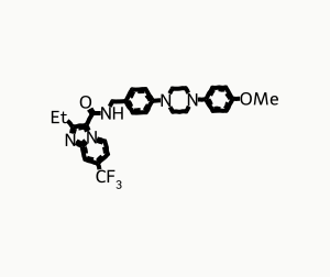 CCc1nc2cc(C(F)(F)F)ccn2c1C(=O)NCc1ccc(N2CCN(c3ccc(OC)cc3)CC2)cc1